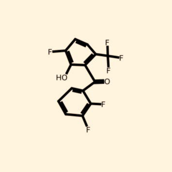 O=C(c1cccc(F)c1F)c1c(C(F)(F)F)ccc(F)c1O